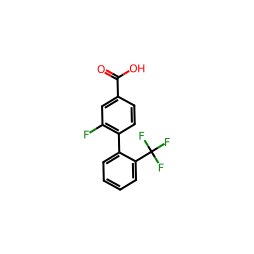 O=C(O)c1ccc(-c2ccccc2C(F)(F)F)c(F)c1